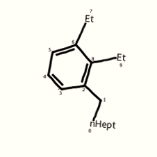 CCCCCCCCc1[c]ccc(CC)c1CC